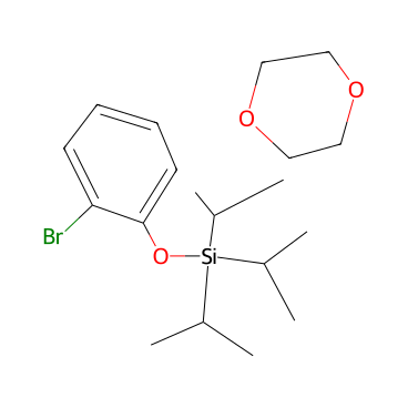 C1COCCO1.CC(C)[Si](Oc1ccccc1Br)(C(C)C)C(C)C